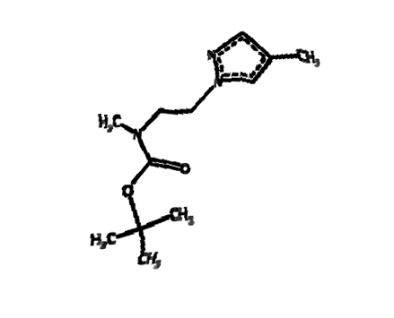 Cc1cnn(CCN(C)C(=O)OC(C)(C)C)c1